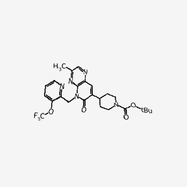 Cc1cnc2cc(C3CCN(C(=O)OC(C)(C)C)CC3)c(=O)n(Cc3ncccc3OC(F)(F)F)c2n1